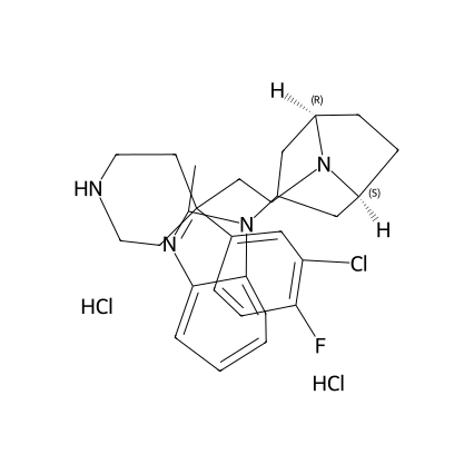 Cc1nc2ccccc2n1C1C[C@H]2CC[C@@H](C1)N2CCC1(c2ccc(F)c(Cl)c2)CCNCC1.Cl.Cl